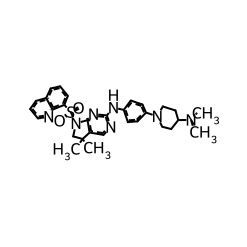 CN(C)C1CCN(c2ccc(Nc3ncc4c(n3)N(S(=O)(=O)c3cccc5cccnc35)CC4(C)C)cc2)CC1